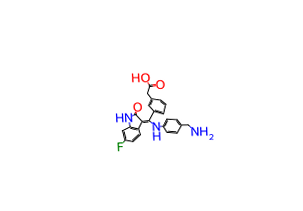 NCc1ccc(NC(=C2C(=O)Nc3cc(F)ccc32)c2cccc(CC(=O)O)c2)cc1